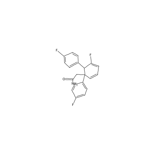 NC(=O)CC1(c2ccc(F)cc2)C=CC=C(F)C1c1ccc(F)cc1